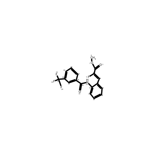 COC(=O)/C(F)=C/c1ccccc1NC(=O)c1cccc(C(F)(F)F)c1